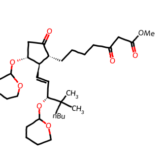 CCCCC(C)(C)[C@@H](/C=C/[C@H]1[C@H](OC2CCCCO2)CC(=O)[C@@H]1CCCCC(=O)CC(=O)OC)OC1CCCCO1